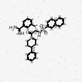 N=C(N)c1cccc(C[C@H](NS(=O)(=O)c2ccc3ccccc3c2)C(=O)N2CCC(c3ccccc3)CC2)c1